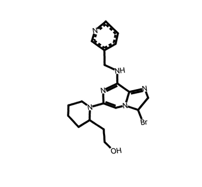 OCCC1CCCCN1C1=CN2C(=NCC2Br)C(NCc2cccnc2)=N1